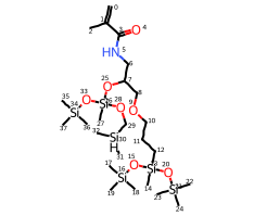 C=C(C)C(=O)NCC(COCCC[Si](C)(O[Si](C)(C)C)O[Si](C)(C)C)O[Si](C)(OC[SiH](C)C)O[Si](C)(C)C